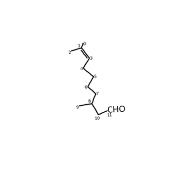 CC(C)=CCCCCC(C)CC=O